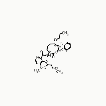 CCCO[C@H]1CCC[C@H](NC(=O)c2nccc(OC)c2OC(=O)CCOC)C(=O)O[C@@H](C)[C@@H]1Oc1ccccc1